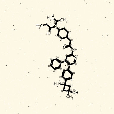 CCC(=O)N(C(C)C)C1CCC(CC(=O)Nc2cc(-c3ccccc3)c(-c3ccc([C@]4(N)C[C@](C)(O)C4)cc3)cn2)CC1